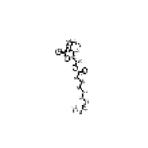 CCCCCCCC(=O)OCC1CN(C)C(=O)O1